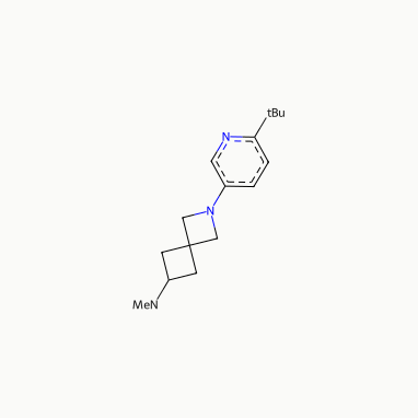 CNC1CC2(C1)CN(c1ccc(C(C)(C)C)nc1)C2